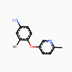 Cc1ccc(Oc2ccc(N)cc2C#N)cn1